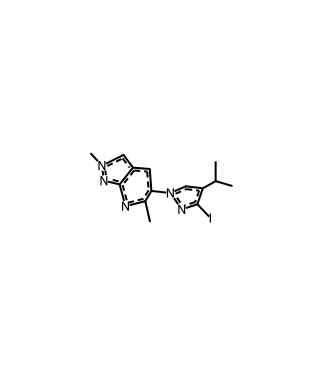 Cc1nc2nn(C)cc2cc1-n1cc(C(C)C)c(I)n1